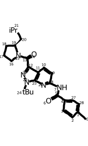 Cc1ccc(C(=O)Nc2ccc3c(C(=O)N4CCC[C@H]4CC(C)C)nn(C(C)(C)C)c3n2)cc1